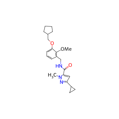 COc1c(CNC(=O)c2cc(C3CC3)nn2C)cccc1OCC1CCCC1